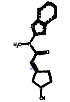 CN(C(=O)/C=C1\CCN(C#N)C1)c1nc2ccccc2s1